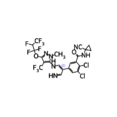 Cn1nc(OC(F)(F)C(F)C(F)(F)F)c(C(F)(F)F)c1N/C=C(\C=N)c1cc(Cl)c(Cl)c(C(=O)NC2(C#N)CC2)c1